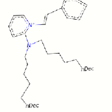 CCCCCCCCCCCCCCCN(CCCCCCCCCCCCCCC)c1cccc[n+]1C=Cc1ccccc1